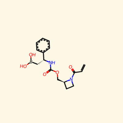 C=CC(=O)N1CC[C@H]1COC(=O)N[C@H](CB(O)O)c1ccccc1